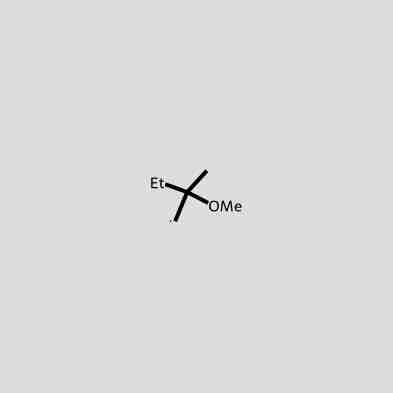 [CH2]C(C)(CC)OC